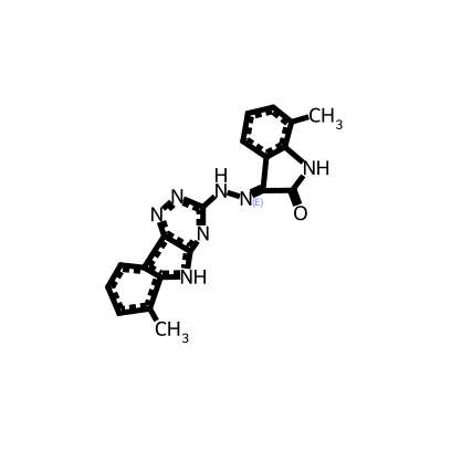 Cc1cccc2c1NC(=O)/C2=N/Nc1nnc2c(n1)[nH]c1c(C)cccc12